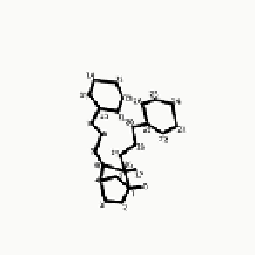 CC12CCC(C1)C(CCCC1CCCCC1)C2(C)CCCC1CCCCC1